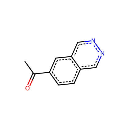 CC(=O)c1ccc2cnncc2c1